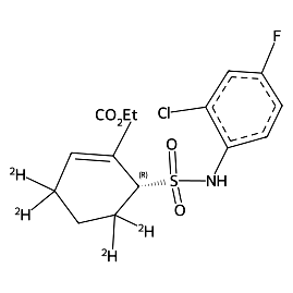 [2H]C1([2H])C=C(C(=O)OCC)[C@H](S(=O)(=O)Nc2ccc(F)cc2Cl)C([2H])([2H])C1